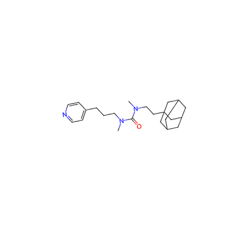 CN(CCCc1ccncc1)C(=O)N(C)CCC12CC3CC(CC(C3)C1)C2